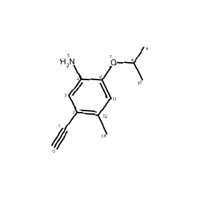 C#Cc1cc(N)c(OC(C)C)cc1C